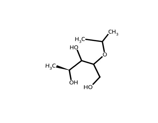 CC(C)OC(CO)C(O)[C@H](C)O